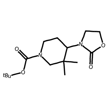 CC(C)(C)OC(=O)N1CCC(N2CCOC2=O)C(C)(C)C1